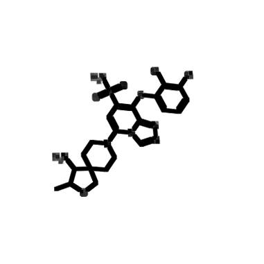 CC1OCC2(CCN(c3cc(S(N)(=O)=O)c(Sc4cccc(Cl)c4Cl)c4nncn34)CC2)C1N